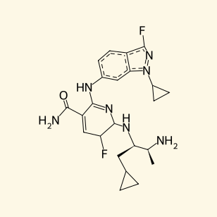 C[C@H](N)[C@@H](CC1CC1)NC1N=C(Nc2ccc3c(F)nn(C4CC4)c3c2)C(C(N)=O)=CC1F